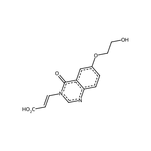 O=C(O)C=Cn1cnc2ccc(OCCO)cc2c1=O